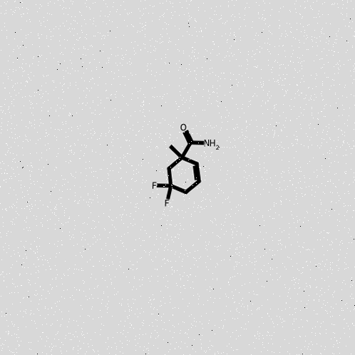 CC1(C(N)=O)C=CCC(F)(F)C1